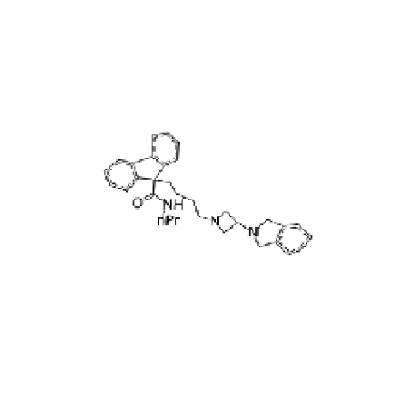 CCCNC(=O)C1(CCCCN2CC(N3Cc4ccccc4C3)C2)c2ccccc2-c2ccccc21